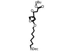 CCCCCCCCCCCCCCCCCOc1cc(C(=O)CC(=O)OCCCC)co1